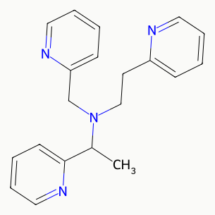 CC(c1ccccn1)N(CCc1ccccn1)Cc1ccccn1